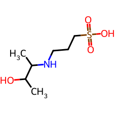 CC(O)C(C)NCCCS(=O)(=O)O